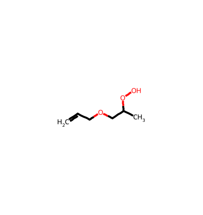 C=CCOCC(C)OO